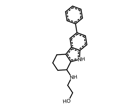 OCCNC1CCCc2c1[nH]c1ccc(-c3ccccc3)cc21